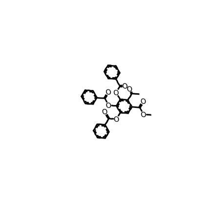 COC(=O)c1cc(OC(=O)c2ccccc2)c(OC(=O)c2ccccc2)c(OC(=O)c2ccccc2)c1C(C)=O